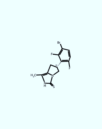 Cc1[nH]c(=S)n2c1C[C@H](c1c(F)ccc(Br)c1F)C2